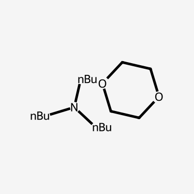 C1COCCO1.CCCCN(CCCC)CCCC